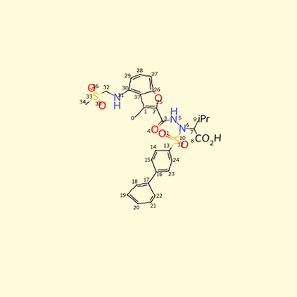 Cc1c(C(=O)NN(C(C(=O)O)C(C)C)S(=O)(=O)c2ccc(-c3ccccc3)cc2)oc2cccc(NCS(C)(=O)=O)c12